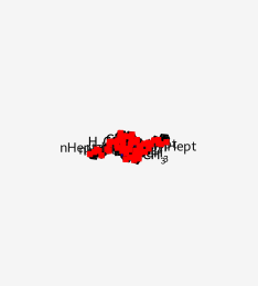 CCCCCCCc1ccc(N(c2cccc(-c3cccc(-c4ccc5c(c4)C(C)(C)c4cc(-c6ccc7c(c6)C(CCCCCCC)(CCCCCCC)c6ccccc6-7)ccc4-5)c3)c2)c2c3ccccc3c(N(c3ccc(CCCCCCC)cc3)c3cccc(-c4cccc(-c5ccc6c(c5)C(C)(C)c5cc(-c7ccc8c(c7)C(CCCCCCC)(CCCCCCC)c7ccccc7-8)ccc5-6)c4)c3)c3ccccc23)cc1